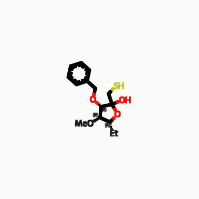 CC[C@H]1OC(O)(CS)[C@H](OCc2ccccc2)[C@@H]1OC